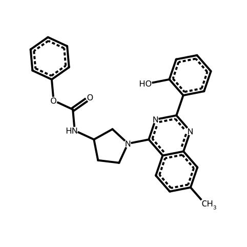 Cc1ccc2c(N3CCC(NC(=O)Oc4ccccc4)C3)nc(-c3ccccc3O)nc2c1